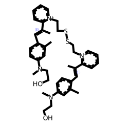 C/C(=C\c1ccc(N(C)CCO)cc1C)c1cccc[n+]1CCSSCC[n+]1ccccc1/C(C)=C/c1ccc(N(C)CCO)cc1C